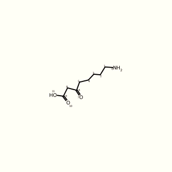 NCCCCCC(=O)CC(=O)O